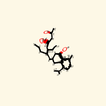 CCCC(CC1CC(=O)c2c(C)ccc(C(C)C)c2C1)C(CC)C(=O)CC(C)=O